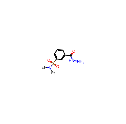 CCN(CC)S(=O)(=O)c1cccc(C(=O)NN)c1